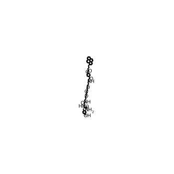 NC(=O)[C@H](Cc1ccc(O)cc1)NCC(=O)NCCCOCCOCCOCCCNCC(=O)c1ccc(OC(=O)CCCc2ccc3ccc4cccc5ccc2c3c45)cc1